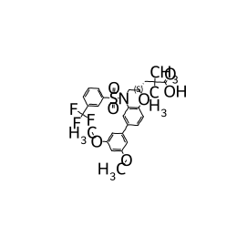 COc1cc(OC)cc(-c2ccc3c(c2)N(S(=O)(=O)c2cccc(C(F)(F)F)c2)C[C@H](CC(C)(C)C(=O)O)O3)c1